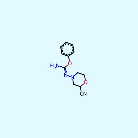 N#CC1CN(/N=C(/N)Oc2ccccc2)CCO1